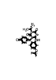 CC(C)n1c(=O)nc(Nc2cccc(OC(F)F)c2)n(Cc2ccc(Cl)cn2)c1=O